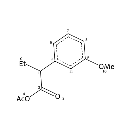 CCC(C(=O)OC(C)=O)c1cccc(OC)c1